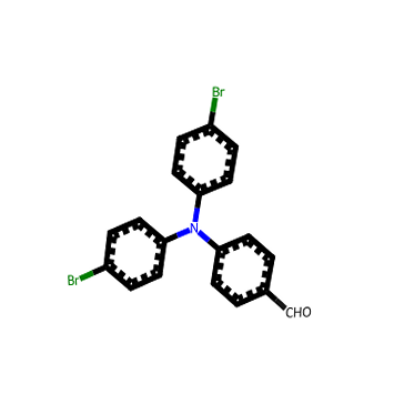 O=Cc1ccc(N(c2ccc(Br)cc2)c2ccc(Br)cc2)cc1